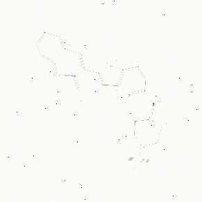 CS(=O)(=O)N1CCN(C(=O)c2ccc3[nH]c(-c4cc5ccccc5[nH]c4=O)cc3c2)CC1